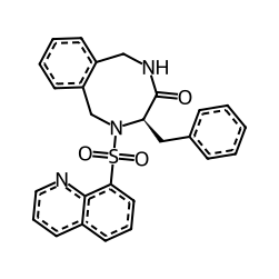 O=C1NCc2ccccc2CN(S(=O)(=O)c2cccc3cccnc23)[C@@H]1Cc1ccccc1